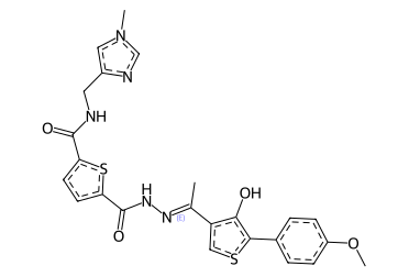 COc1ccc(-c2scc(/C(C)=N/NC(=O)c3ccc(C(=O)NCc4cn(C)cn4)s3)c2O)cc1